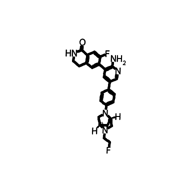 Nc1ncc(-c2ccc(N3C[C@@H]4C[C@H]3CN4CCF)cc2)cc1-c1cc2c(cc1F)C(=O)NCC2